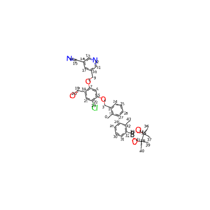 Cc1c(COc2cc(OCc3cncc(C#N)c3)c(C=O)cc2Cl)cccc1-c1cccc(B2OC(C)(C)C(C)(C)O2)c1C